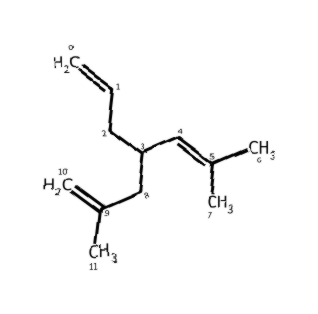 C=CC[C](C=C(C)C)CC(=C)C